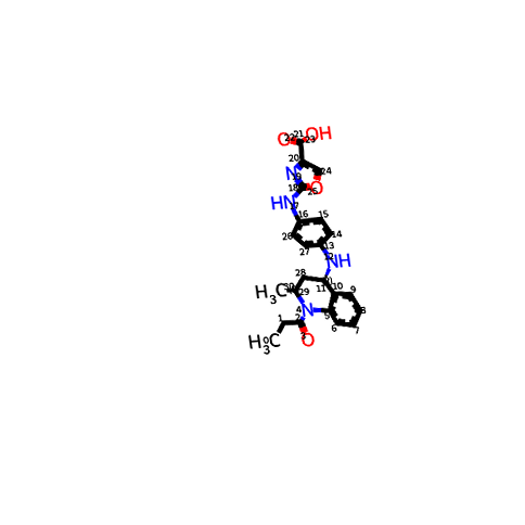 CCC(=O)N1c2ccccc2[C@H](Nc2ccc(Nc3nc(C(=O)O)co3)cc2)C[C@@H]1C